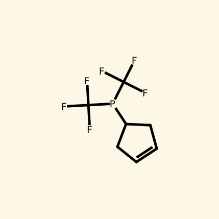 FC(F)(F)P(C1CC=CC1)C(F)(F)F